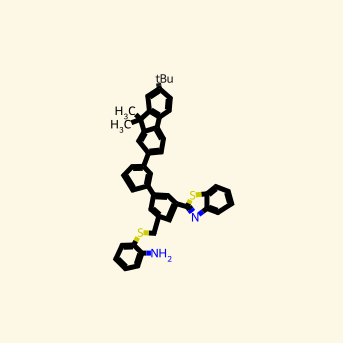 CC(C)(C)c1ccc2c(c1)C(C)(C)c1cc(-c3cccc(-c4cc(CSc5ccccc5N)cc(-c5nc6ccccc6s5)c4)c3)ccc1-2